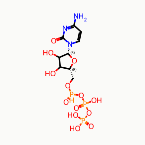 Nc1ccn([C@@H]2O[C@H](CO[PH](=O)OP(=O)(O)OP(=O)(O)O)C(O)C2O)c(=O)n1